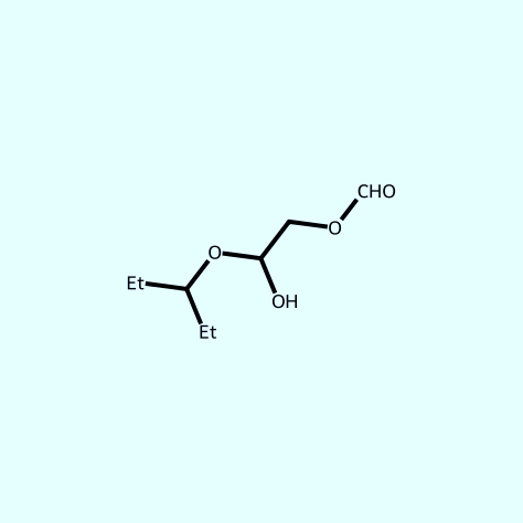 CCC(CC)OC(O)COC=O